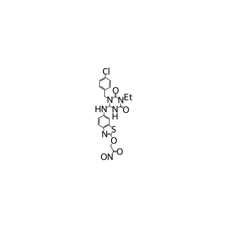 CCN1C(=O)NC(Nc2ccc3nc(OCC(=O)N=O)sc3c2)N(Cc2ccc(Cl)cc2)C1=O